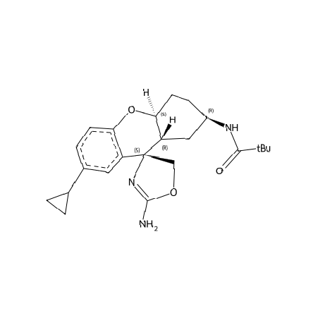 CC(C)(C)C(=O)N[C@@H]1CC[C@@H]2Oc3ccc(C4CC4)cc3[C@]3(COC(N)=N3)[C@H]2C1